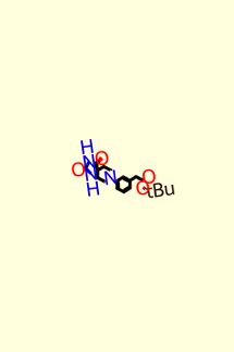 CC(C)(C)OC(=O)Cc1cccc(N2CCC3(CC2)NC(=O)NC3=O)c1